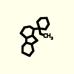 CCC1(C2CCCC3C4CCCCC4CC32)CCCCC1